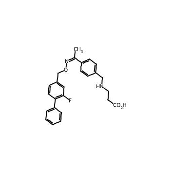 CC(=NOCc1ccc(-c2ccccc2)c(F)c1)c1ccc(CNCCC(=O)O)cc1